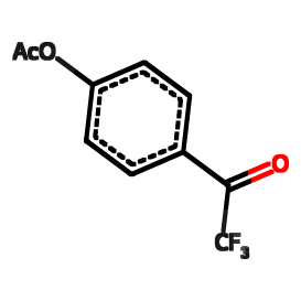 CC(=O)Oc1ccc(C(=O)C(F)(F)F)cc1